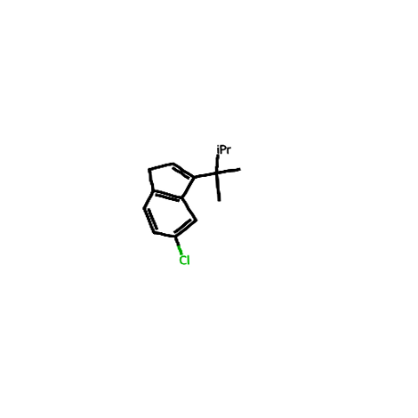 CC(C)C(C)(C)C1=CCc2ccc(Cl)cc21